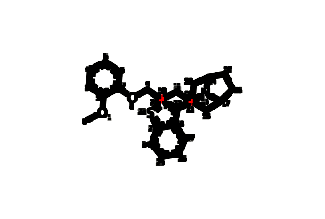 COc1c[c]ccc1OCCCCN1C2CCC1CC(c1nsc3ccccc13)C2